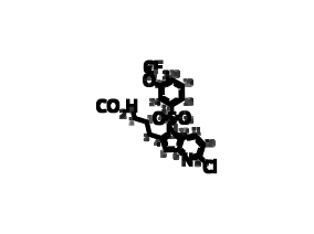 O=C(O)CCCc1cc2nc(Cl)ccc2n1S(=O)(=O)c1cccc(OC(F)(F)F)c1